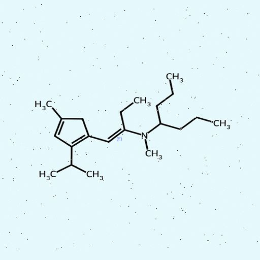 CCCC(CCC)N(C)/C(=C/C1=C(C(C)C)C=C(C)C1)CC